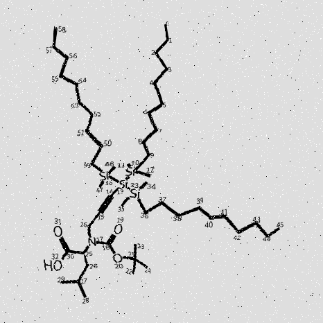 CCCCCCCCCC[Si](C)(C)[Si](C#CCN(C(=O)OC(C)(C)C)[C@@H](CC(C)C)C(=O)O)([Si](C)(C)CCCCCCCCCC)[Si](C)(C)CCCCCCCCCC